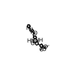 COc1cc(C2=CC3=C(CC2)C(=O)Nc2cc(CC(=O)N4CCN(c5ccccn5)CC4)ccc2N3)ccc1[N+](=O)[O-]